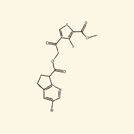 COC(=O)c1scc(C(=O)COC(=O)C2CCc3cc(Br)cnc32)c1F